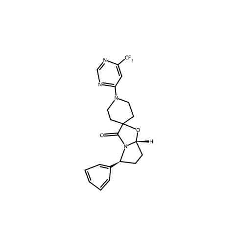 O=C1N2[C@@H](CC[C@H]2c2ccccc2)OC12CCN(c1cc(C(F)(F)F)ncn1)CC2